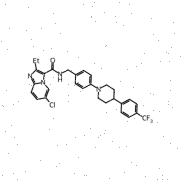 CCc1nc2ccc(Cl)cn2c1C(=O)NCc1ccc(N2CCC(c3ccc(C(F)(F)F)cc3)CC2)cc1